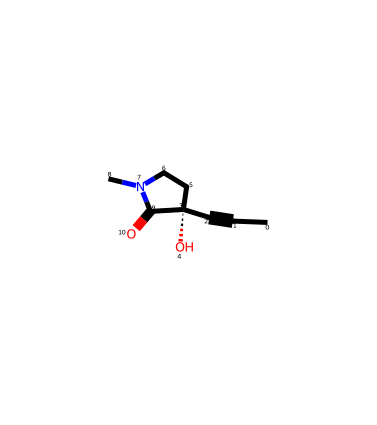 CC#C[C@]1(O)CCN(C)C1=O